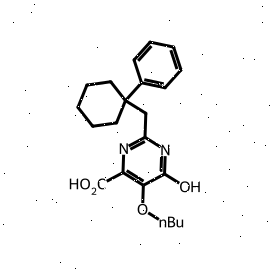 CCCCOc1c(O)nc(CC2(c3ccccc3)CCCCC2)nc1C(=O)O